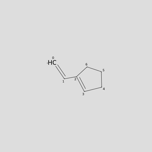 [CH]=CC1=CCCC1